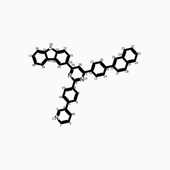 c1cncc(-c2ccc(-c3nc(-c4ccc(-c5ccc6ccccc6c5)cc4)cc(-c4ccc5sc6ccccc6c5c4)n3)cc2)c1